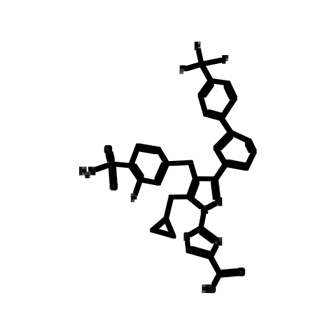 NS(=O)(=O)c1ccc(Cc2c(-c3cccc(-c4ccc(C(F)(F)F)cc4)c3)nn(-c3nc(C(=O)O)cs3)c2CC2CC2)cc1F